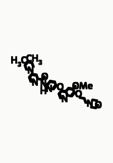 COc1cc2c(Oc3ccc(NC(=O)c4cc(N5CCC(C)(C)CC5)ccn4)nc3)ccnc2cc1OCCCN1CCOCC1